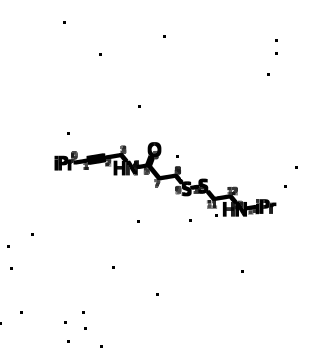 CC(C)C#CCNC(=O)CCSSCCNC(C)C